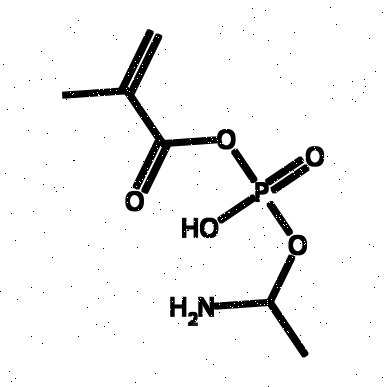 C=C(C)C(=O)OP(=O)(O)OC(C)N